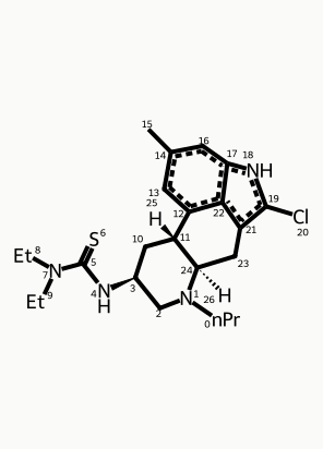 CCCN1C[C@@H](NC(=S)N(CC)CC)C[C@@H]2c3cc(C)cc4[nH]c(Cl)c(c34)C[C@H]21